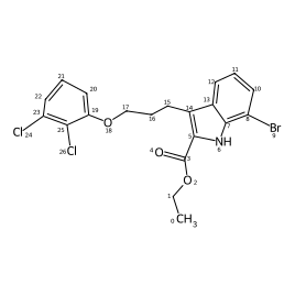 CCOC(=O)c1[nH]c2c(Br)cccc2c1CCCOc1cccc(Cl)c1Cl